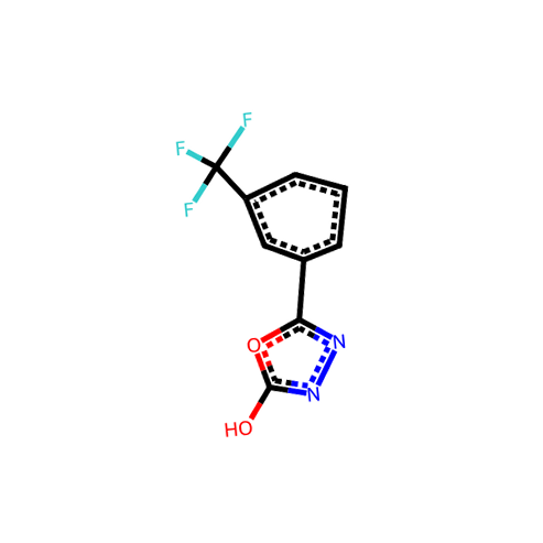 Oc1nnc(-c2cccc(C(F)(F)F)c2)o1